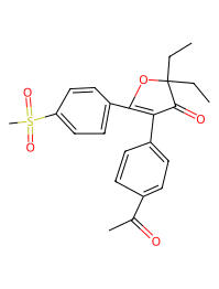 CCC1(CC)OC(c2ccc(S(C)(=O)=O)cc2)=C(c2ccc(C(C)=O)cc2)C1=O